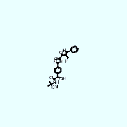 CC(C)(C#N)NC(=O)C(O)c1ccc(-c2noc(-c3onc(-c4ccccc4)c3CF)n2)cc1